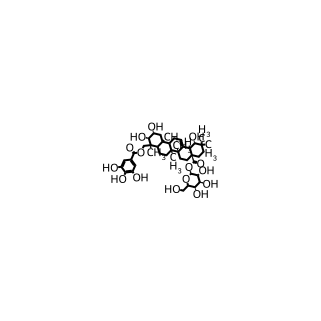 CC1(C)CC[C@]2(C(=O)O[C@@H]3OC(CO)[C@@H](O)[C@H](O)C3O)CC[C@]3(C)C(=CCC4[C@@]5(C)C[C@@H](O)[C@H](O)[C@@](C)(COC(=O)c6cc(O)c(O)c(O)c6)C5CC[C@]43C)[C@@H]2[C@@H]1O